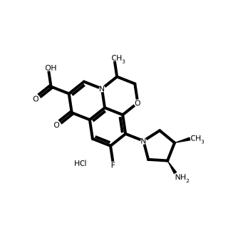 CC1COc2c(N3C[C@@H](C)[C@@H](N)C3)c(F)cc3c(=O)c(C(=O)O)cn1c23.Cl